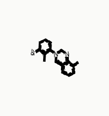 Cc1c(Br)cccc1N1C=c2cccc(C)c2=NC1